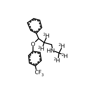 [2H]C([2H])([2H])NCC([2H])([2H])C(Oc1ccc(C(F)(F)F)cc1)c1ccccc1